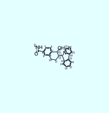 CNC(=O)c1ccc2c(c1)CCC(C1c3ccccc3-c3cncn31)C2O